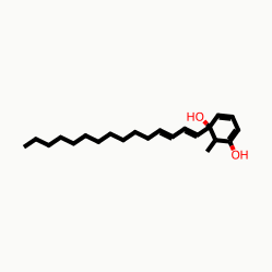 CCCCCCCCCCCC=CC=CC1(O)C=CC=C(O)C1C